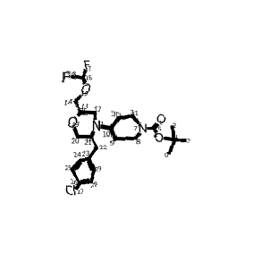 CC(C)(C)OC(=O)N1CCC(N2C[C@H](COC(F)F)OC[C@@H]2Cc2ccc(Cl)cc2)CC1